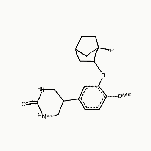 COc1ccc(C2CNC(=O)NC2)cc1OC1CC2CC[C@H]1C2